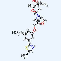 Cc1cnc(-c2cc(OCC34CC(CO3)N(C(=O)CC(C)(C)O)C4)cc(C(=O)O)c2)s1